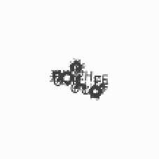 CN(C(=O)COc1cccc(C(F)(F)F)c1)[C@@H]1CC[C@]2(CCCO2)C[C@H]1N1CCCC1